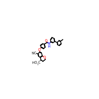 Cc1cccc(-c2cccc(NC(=O)c3ccc(Oc4cc5c(cc4C#N)C(C(=O)O)CCO5)cc3)c2)c1